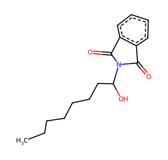 CCCCCCCC(O)N1C(=O)c2ccccc2C1=O